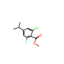 COC(=O)c1c(F)cc(C(C)C)cc1Cl